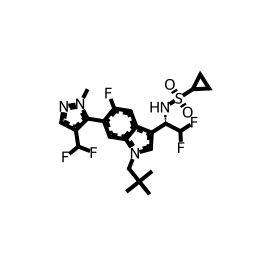 Cn1ncc(C(F)F)c1-c1cc2c(cc1F)c([C@H](NS(=O)(=O)C1CC1)C(F)F)cn2CC(C)(C)C